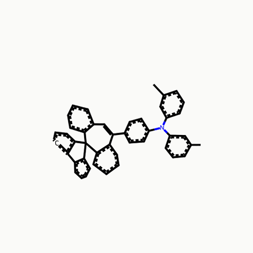 Cc1cccc(N(c2ccc(C3=Cc4ccccc4C4(c5ccccc53)c3ccccc3-c3ccccc34)cc2)c2cccc(C)c2)c1